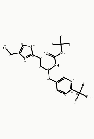 CC(C)(C)OC(=O)NC(CCc1nc(CCl)cs1)Cc1ccc(C(F)(F)F)nc1